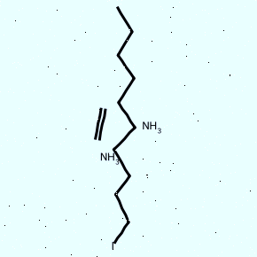 C=C.CCCCCCCCCCI.N.N